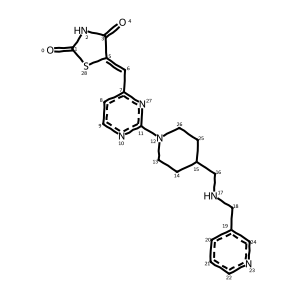 O=C1NC(=O)/C(=C/c2ccnc(N3CCC(CNCc4cccnc4)CC3)n2)S1